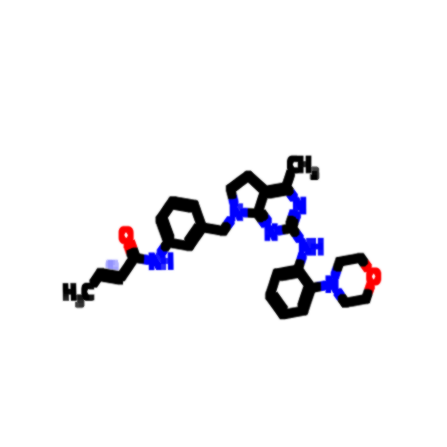 C/C=C/C(=O)Nc1cccc(CN2CCc3c(C)nc(Nc4ccccc4N4CCOCC4)nc32)c1